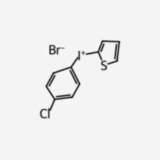 Clc1ccc([I+]c2cccs2)cc1.[Br-]